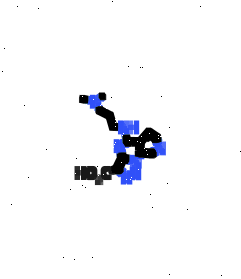 CN(C)CCCNc1nc2c(C(=O)O)nnn2c2cnccc12